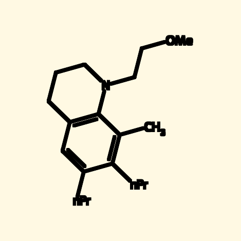 CCCc1cc2c(c(C)c1CCC)N(CCOC)CCC2